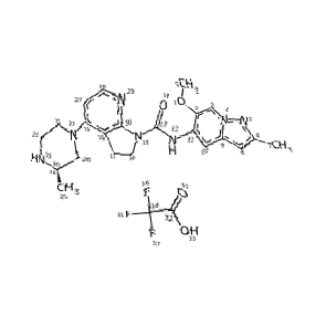 COc1cn2nc(C)cc2cc1NC(=O)N1CCc2c(N3CCN[C@H](C)C3)ccnc21.O=C(O)C(F)(F)F